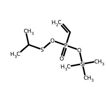 C=CP(=O)(OSC(C)C)O[Si](C)(C)C